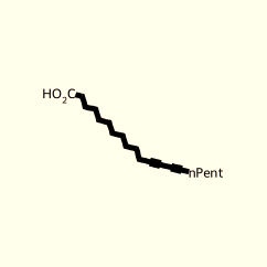 CCCCCC#CC#CCCCCCCCCCCC(=O)O